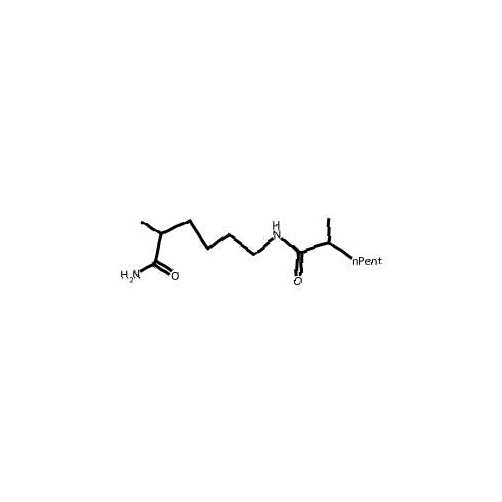 CCCCCC(C)C(=O)NCCCCC(C)C(N)=O